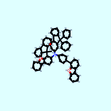 CC1(c2c(N(c3ccc(-c4cccc5c4oc4ccccc45)cc3)c3ccc4c(c3)C(c3ccccc3)(c3ccccc3)c3ccccc3-4)ccc3c2oc2ccccc23)c2ccccc2-c2ccccc21